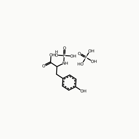 O=C(O)C(Cc1ccc(O)cc1)NP(=O)(O)O.O=P(O)(O)O